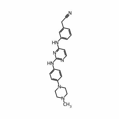 CN1CCN(c2ccc(Nc3nccc(Nc4cccc(CC#N)c4)n3)cc2)CC1